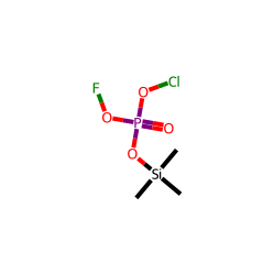 C[Si](C)(C)OP(=O)(OF)OCl